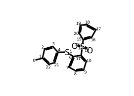 Cc1ccc(Sc2ccccc2S(=O)(=O)c2ccccc2)cc1